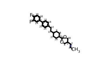 C/C=C/C1COC(C2CCC(CCc3ccc(-c4ccc(F)c(F)c4)cc3)CC2)OC1